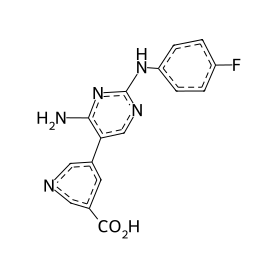 Nc1nc(Nc2ccc(F)cc2)ncc1-c1cncc(C(=O)O)c1